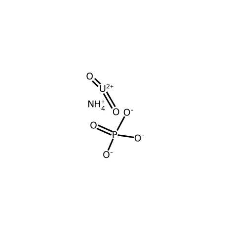 O=P([O-])([O-])[O-].[NH4+].[O]=[U+2]=[O]